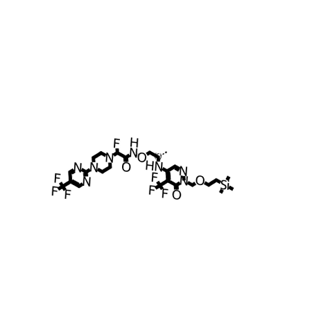 C[C@@H](CONC(=O)C(F)N1CCN(c2ncc(C(F)(F)F)cn2)CC1)Nc1cnn(COCC[Si](C)(C)C)c(=O)c1C(F)(F)F